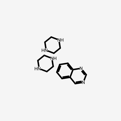 C1CNCCN1.C1CNCCN1.c1ccc2ncncc2c1